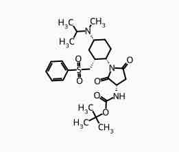 CC(C)N(C)[C@@H]1CC[C@H](N2C(=O)C[C@H](NC(=O)OC(C)(C)C)C2=O)[C@H](CS(=O)(=O)c2ccccc2)C1